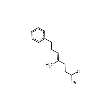 C/C(=C\CCc1ccccc1)CCC(Cl)C(C)C